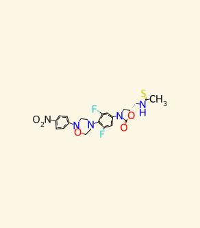 CC(=S)NC[C@H]1CN(c2cc(F)c(N3CCON(c4ccc([N+](=O)[O-])cc4)CC3)c(F)c2)C(=O)O1